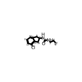 O=C(NCCF)NC1Cc2cccc(Cl)c2C1